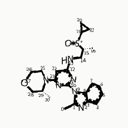 Cc1nc2ccccc2n1-c1nc(NC[C@@H](C)[S+]([O-])C2CC2)cc(N2CCOC[C@H]2C)n1